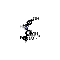 COc1c(F)cc(F)cc1-c1ccc(/C(C=N)=C/NC2CCN(CCO)CC2)cnc(C)[nH]c1